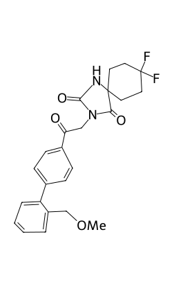 COCc1ccccc1-c1ccc(C(=O)CN2C(=O)NC3(CCC(F)(F)CC3)C2=O)cc1